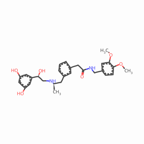 COc1ccc(CNC(=O)Cc2cccc(C[C@@H](C)NC[C@H](O)c3cc(O)cc(O)c3)c2)cc1OC